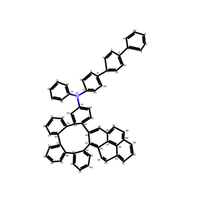 c1ccc(-c2ccc(-c3ccc(N(c4ccccc4)c4ccc5c(c4)c4ccccc4c4ccccc4c4ccccc4c4c5cc5ccc6cccc7ccc4c5c67)cc3)cc2)cc1